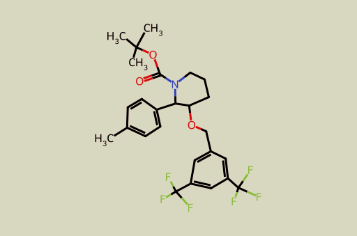 Cc1ccc(C2C(OCc3cc(C(F)(F)F)cc(C(F)(F)F)c3)CCCN2C(=O)OC(C)(C)C)cc1